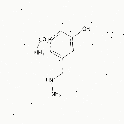 NC(=O)O.NNCc1cccc(O)c1